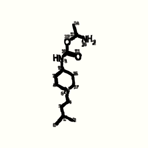 CC(C)CCN1CCC(NC(=O)OC(C)N)CC1